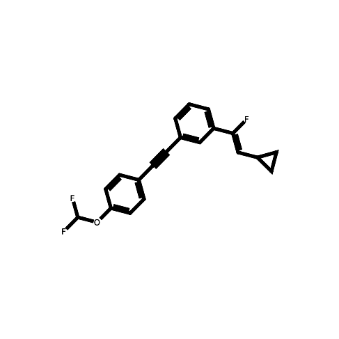 FC(=CC1CC1)c1cccc(C#Cc2ccc(OC(F)F)cc2)c1